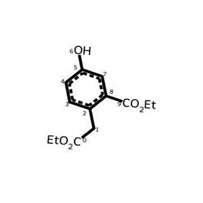 CCOC(=O)Cc1ccc(O)cc1C(=O)OCC